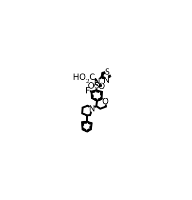 O=C(O)N(c1cscn1)S(=O)(=O)c1cc2c(cc1F)C(N1CCCC(c3ccccc3)C1)CCO2